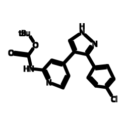 CC(C)(C)OC(=O)Nc1cc(-c2c[nH]nc2-c2ccc(Cl)cc2)ccn1